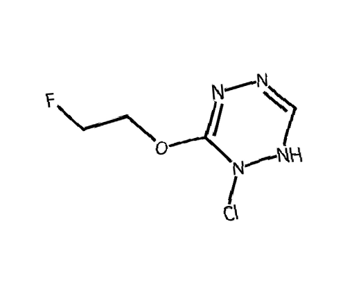 FCCOC1=NN=CNN1Cl